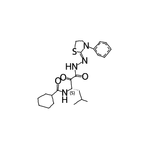 CC(C)C[C@H](NC(=O)C1CCCCC1)C(=O)C(=O)NN=C1SCCN1c1ccccc1